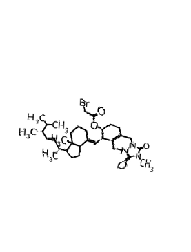 CC(C)[C@@H](C)/C=C/[C@@H](C)C1CCC2/C(=C/[C@@H]3C4=C(CC[C@@H]3OC(=O)CBr)Cn3c(=O)n(C)c(=O)n3C4)CCCC21C